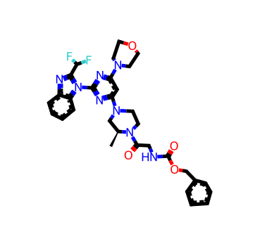 C[C@H]1CN(c2cc(N3CCOCC3)nc(-n3c(C(F)F)nc4ccccc43)n2)CCN1C(=O)CNC(=O)OCc1ccccc1